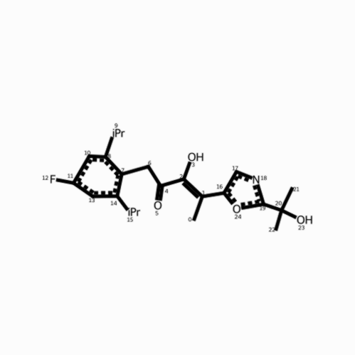 C/C(=C(/O)C(=O)Cc1c(C(C)C)cc(F)cc1C(C)C)c1cnc(C(C)(C)O)o1